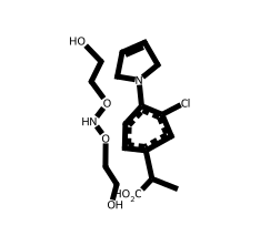 CC(C(=O)O)c1ccc(N2CC=CC2)c(Cl)c1.OCCONOCCO